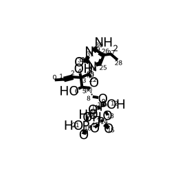 CC#CC1(O)C(O)[C@@H](COP(=O)(O)OP(=O)(O)OP(=O)(O)O)O[C@H]1n1cc(CC)c(N)nc1=O